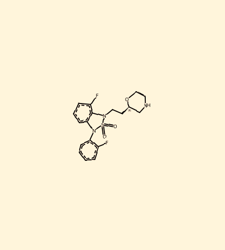 O=S1(=O)N(CC[C@@H]2CNCCO2)c2c(F)cccc2N1c1ccccc1F